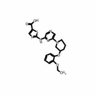 CCOc1ccccc1OC1CCCN(c2cncc(Nc3ncc(C(=O)O)s3)n2)C1